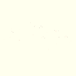 CCNc1cc(C)nc(Nc2ccc3[nH]c(C)cc3c2)n1